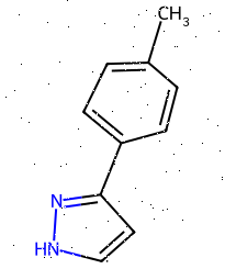 Cc1ccc(-c2c[c][nH]n2)cc1